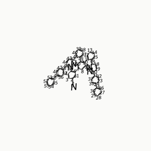 N#Cc1cccc(-c2ccc(-c3ccccc3-c3ccc(-c4ccc(-c5ccccc5)cc4)nn3)c(-c3ccccc3-c3ccc(-c4ccc(-c5ccccc5)cc4)nn3)c2)c1